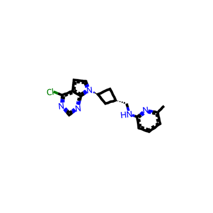 Cc1cccc(NC[C@H]2C[C@@H](n3ccc4c(Cl)ncnc43)C2)n1